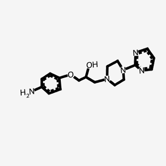 Nc1ccc(OCC(O)CN2CCN(c3ncccn3)CC2)cc1